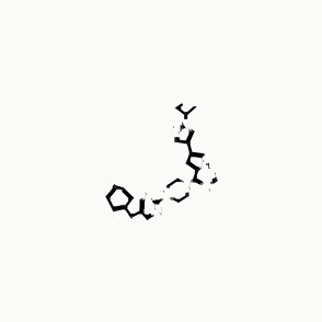 C[C@](O)(c1ccc(F)cc1)c1cnc(N2CCN(c3ncnn4cc(-c5cnn(C6COC6)c5)cc34)CC2)nc1